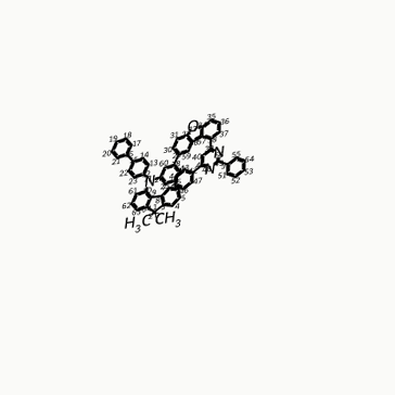 CC1(C)c2ccccc2-c2c(N(c3ccc(-c4ccccc4)cc3)c3cccc(-c4ccc5oc6cccc(-c7cc(-c8ccccc8)nc(-c8ccccc8)n7)c6c5c4)c3)cccc21